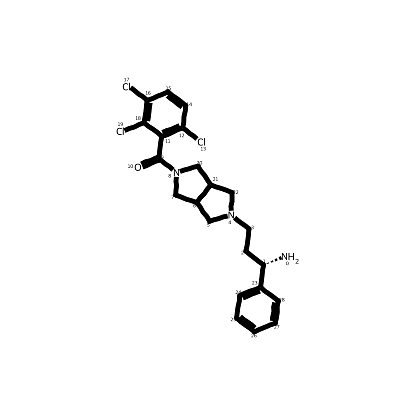 N[C@@H](CCN1CC2CN(C(=O)c3c(Cl)ccc(Cl)c3Cl)CC2C1)c1ccccc1